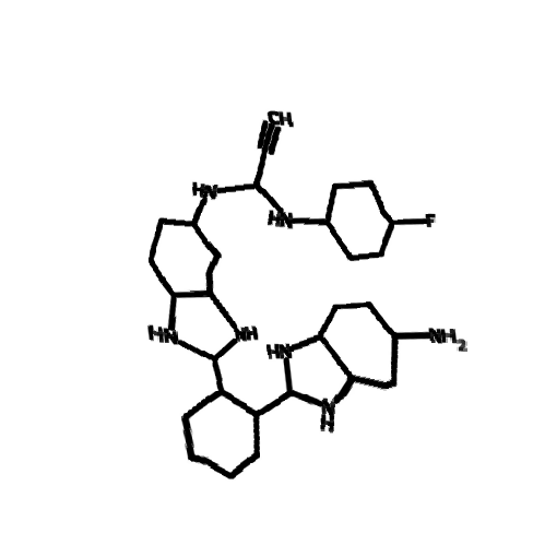 C#CC(NC1CCC(F)CC1)NC1CCC2NC(C3CCCCC3C3NC4CCC(N)CC4N3)NC2C1